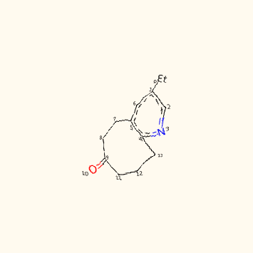 CCc1cnc2c(c1)CCC(=O)CCC2